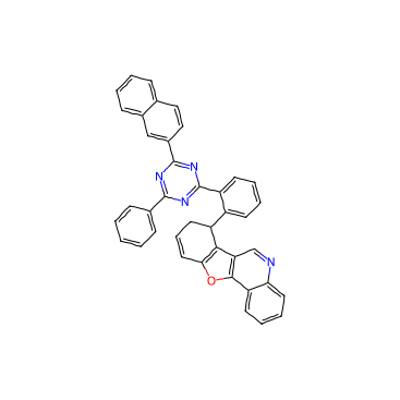 C1=Cc2oc3c(cnc4ccccc43)c2C(c2ccccc2-c2nc(-c3ccccc3)nc(-c3ccc4ccccc4c3)n2)C1